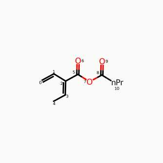 C=CC(=CC)C(=O)OC(=O)CCC